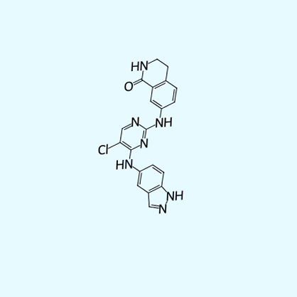 O=C1NCCc2ccc(Nc3ncc(Cl)c(Nc4ccc5[nH]ncc5c4)n3)cc21